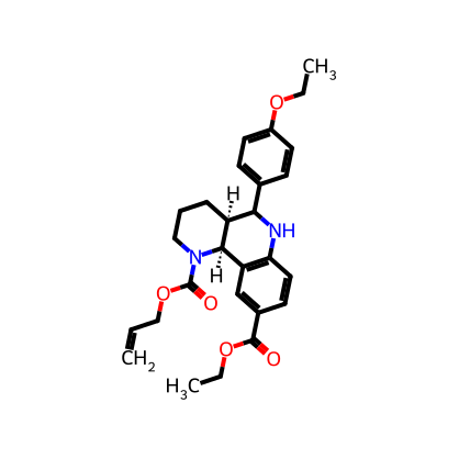 C=CCOC(=O)N1CCC[C@H]2C(c3ccc(OCC)cc3)Nc3ccc(C(=O)OCC)cc3[C@H]21